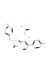 CN(C)C(=O)CN(C)c1c(-c2ccc(Cl)cc2)cnn2c(=O)n(Cc3ccc(C(F)(F)F)nc3)nc12